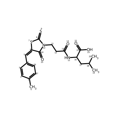 Cc1ccc(/C=C2/SC(=S)N(CCC(=O)NC(CC(C)C)C(=O)O)C2=O)cc1